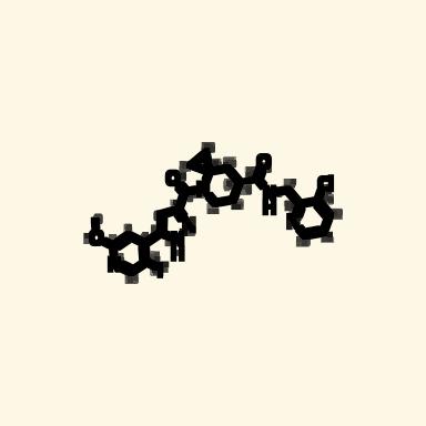 COc1cc(-c2cc(C(=O)N3CC[C@H](C(=O)NCc4ncccc4Cl)CC34CC4)n[nH]2)c(F)cn1